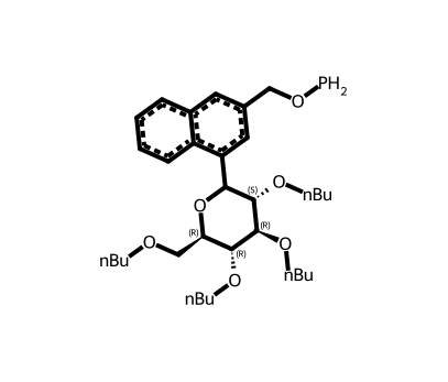 CCCCOC[C@H]1OC(c2cc(COP)cc3ccccc23)[C@H](OCCCC)[C@@H](OCCCC)[C@@H]1OCCCC